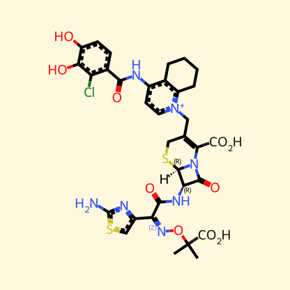 CC(C)(O/N=C(\C(=O)N[C@@H]1C(=O)N2C(C(=O)O)=C(C[n+]3ccc(NC(=O)c4ccc(O)c(O)c4Cl)c4c3CCCC4)CS[C@H]12)c1csc(N)n1)C(=O)O